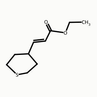 CCOC(=O)/C=C/C1CCSCC1